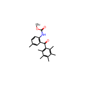 Cc1ccc(NC(=O)OC(C)(C)C)c(C(=O)c2c(C)c(C)c(C)c(C)c2C)c1